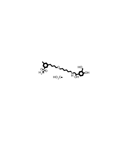 CC(=O)O.Cc1cc(CCCCOCCCCCCNC[C@H](O)c2ccc(O)c(CO)c2)cc(S(N)(=O)=O)c1